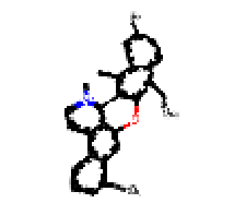 Cc1c2c(c(CC(C)(C)C)c3ccc(C(C)C)cc13)Oc1cc3c(C(C)(C)C)cccc3c3cc[n+](C)c-2c13